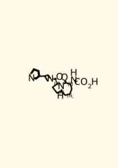 C[C@@H]1C[C@H]2CC[C@@H](C(=O)N3CC(c4cccnc4)C3)N2C(=O)[C@@H](NC(=O)O)C1